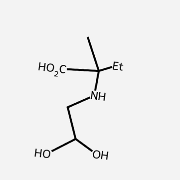 CCC(C)(NCC(O)O)C(=O)O